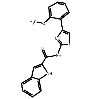 COc1ccccc1-c1csc(NC(=O)c2cc3ccccc3[nH]2)n1